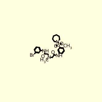 Cc1ccc(NC(=O)CN(C)CC(=O)Nc2cccc(Br)c2)cc1S(=O)(=O)N1CCCCCC1